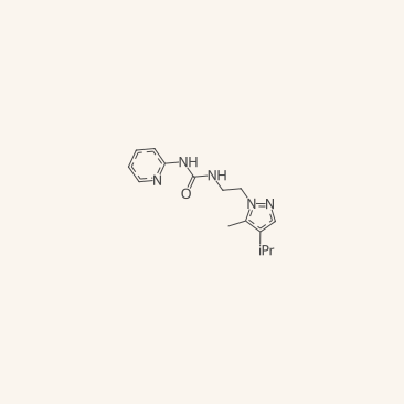 Cc1c(C(C)C)cnn1CCNC(=O)Nc1ccccn1